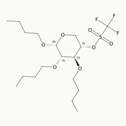 CCCCO[C@@H]1OC[C@H](OS(=O)(=O)C(F)(F)F)[C@@H](OCCCC)[C@@H]1OCCCC